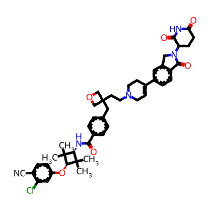 CC1(C)[C@H](NC(=O)c2ccc(CC3(CCN4CC=C(c5ccc6c(c5)CN(C5CCC(=O)NC5=O)C6=O)CC4)COC3)cc2)C(C)(C)[C@H]1Oc1ccc(C#N)c(Cl)c1